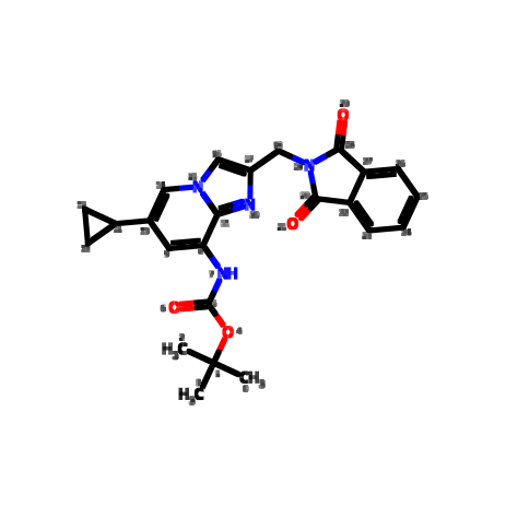 CC(C)(C)OC(=O)Nc1cc(C2CC2)cn2cc(CN3C(=O)c4ccccc4C3=O)nc12